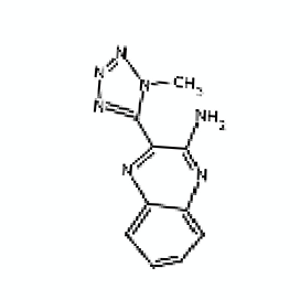 Cn1nnnc1-c1nc2ccccc2nc1N